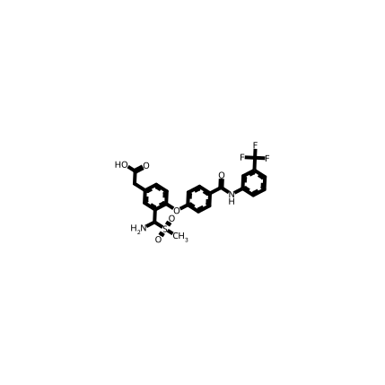 CS(=O)(=O)C(N)c1cc(CC(=O)O)ccc1Oc1ccc(C(=O)Nc2cccc(C(F)(F)F)c2)cc1